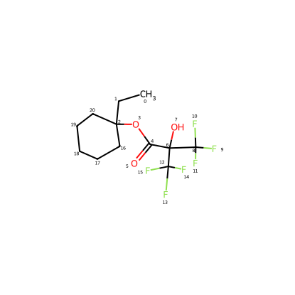 CCC1(OC(=O)C(O)(C(F)(F)F)C(F)(F)F)CCCCC1